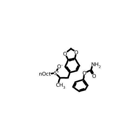 CCCCCCCC[S+]([O-])C(C)Cc1ccc2c(c1)OCO2.NC(=O)Oc1ccccc1